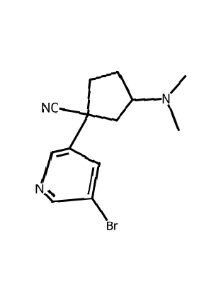 CN(C)C1CCC(C#N)(c2cncc(Br)c2)C1